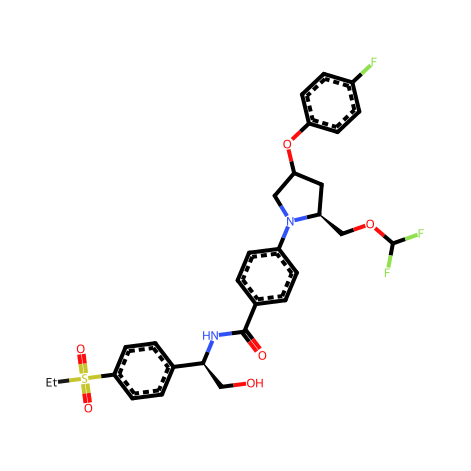 CCS(=O)(=O)c1ccc([C@H](CO)NC(=O)c2ccc(N3CC(Oc4ccc(F)cc4)C[C@H]3COC(F)F)cc2)cc1